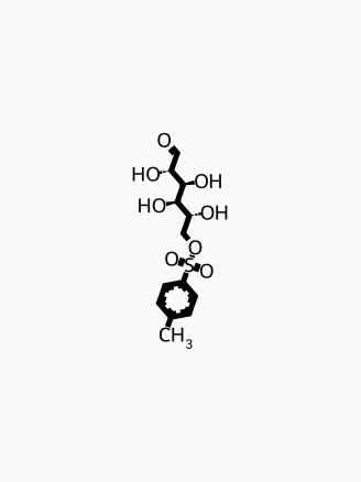 Cc1ccc(S(=O)(=O)OC[C@@H](O)[C@@H](O)[C@H](O)[C@H](O)C=O)cc1